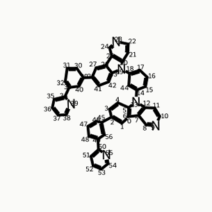 C/C=C(\C=C/c1cc2cnccc2n1-c1cccc(-n2c3ccncc3c3cc(-c4cccc(-c5ccccn5)c4)ccc32)c1)c1cccc(-c2ccccn2)c1